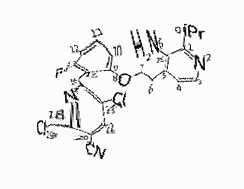 CC(C)c1nccc(CCOc2cccc(F)c2-c2nc(Cl)c(C#N)cc2Cl)c1N